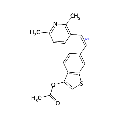 CC(=O)Oc1csc2cc(/C=C\c3ccc(C)nc3C)ccc12